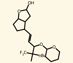 CCCCC(C)(C(/C=C/C1CCC2OC(O)CC12)OC1CCCCO1)C(F)(F)F